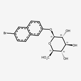 O=C(O)[C@H]1O[C@@H](Oc2ccc3cc(Br)ccc3c2)[C@H](O)[C@@H](O)[C@@H]1O